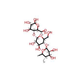 CC1O[C@@H](O[C@H]2C(CO)O[C@@H](O[C@H]3C(CO)OC(O)[C@@H](O)C3O)[C@@H](O)C2O)[C@@H](O)C(O)[C@@H]1C